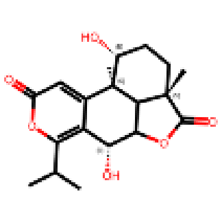 CC(C)c1oc(=O)cc2c1[C@@H](O)C1OC(=O)[C@@]3(C)CC[C@@H](O)[C@@]2(C)C13